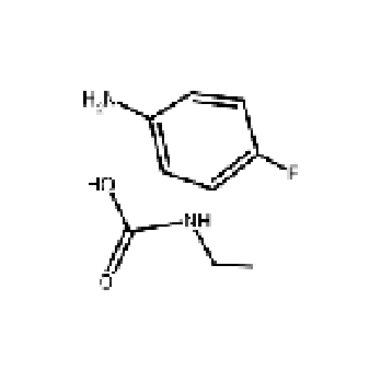 CCNC(=O)O.Nc1ccc(F)cc1